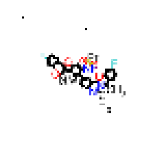 CCS(=O)(=O)Nc1cc2oc(-c3ccc(F)cc3)c(C(=O)NC)c2cc1-c1ccc2nc(C)n([C@H](C)c3ccc(F)cc3)c(=O)c2c1